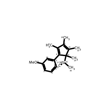 COc1cc[c]c(C2=C(C)C(C)=C(C)C2(C)[SiH](C)C)c1